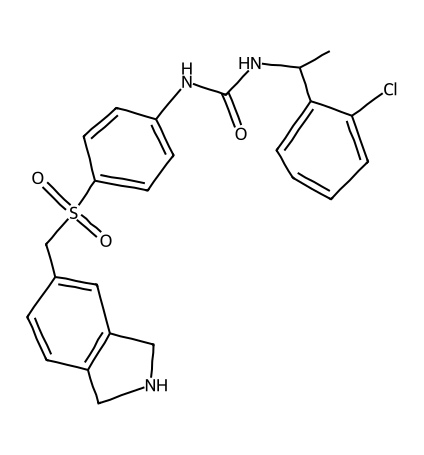 CC(NC(=O)Nc1ccc(S(=O)(=O)Cc2ccc3c(c2)CNC3)cc1)c1ccccc1Cl